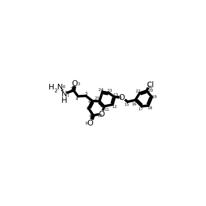 NNC(=O)CCc1cc(=O)oc2cc(OCc3cccc(Cl)c3)ccc12